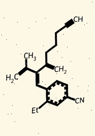 C#CCCCC(=C)/C(=C\c1ccc(C#N)cc1CC)C(=C)C